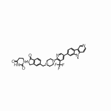 Cn1c2ccncc2c2ccc(-c3cnc(N4CCN(Cc5ccc6c(c5)CN(N5CCC(=O)NC5=O)C6=O)CC4)c(C(F)(F)F)c3)cc21